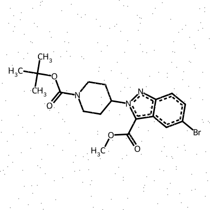 COC(=O)c1c2cc(Br)ccc2nn1C1CCN(C(=O)OC(C)(C)C)CC1